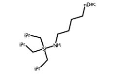 CCCCCCCCCCCCCCN[Si](CC(C)C)(CC(C)C)CC(C)C